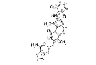 Cc1c(CC=CN2CCC[C@H]2C(N)=O)[nH]c(=O)c2c1ccc1nc(Nc3c(Cl)cccc3Cl)n(C)c12